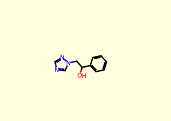 OC(Cn1cncn1)c1ccccc1